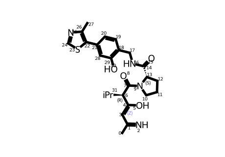 CC(=N)/C=C(\O)[C@H](C(=O)N1CCC[C@H]1C(=O)NCc1ccc(-c2scnc2C)cc1O)C(C)C